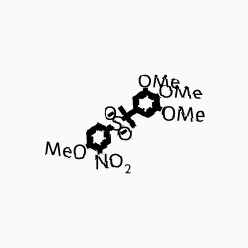 COc1ccc(S(=O)(=O)C(C)(C)c2cc(OC)c(OC)c(OC)c2)cc1[N+](=O)[O-]